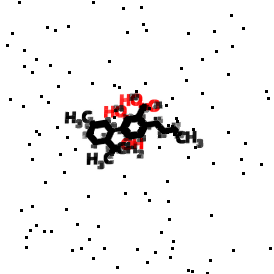 C=C(C)C1CCC(C)=C[C@H]1c1c(O)cc(CCCC)c(C(=O)O)c1O